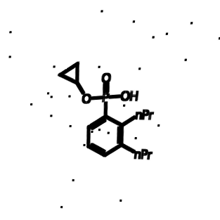 CCCc1cccc(P(=O)(O)OC2CC2)c1CCC